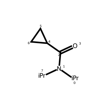 CC(C)N(C(=O)C1CC1)C(C)C